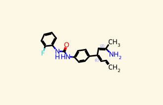 C=C/C=C(\C=C(\C)N)c1ccc(NC(=O)Nc2ccccc2F)cc1